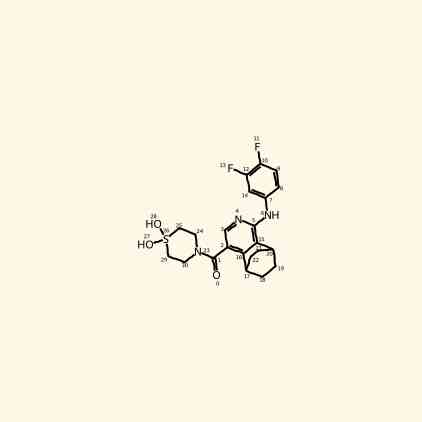 O=C(c1cnc(Nc2ccc(F)c(F)c2)c2c1C1CCC2CC1)N1CCS(O)(O)CC1